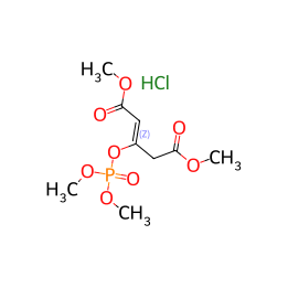 COC(=O)/C=C(/CC(=O)OC)OP(=O)(OC)OC.Cl